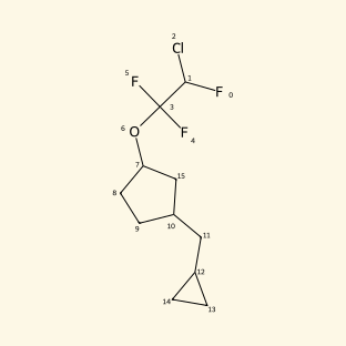 FC(Cl)C(F)(F)OC1CCC(CC2CC2)C1